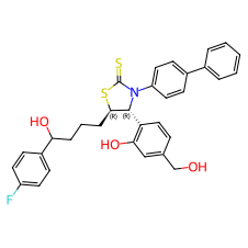 OCc1ccc([C@@H]2[C@@H](CCCC(O)c3ccc(F)cc3)SC(=S)N2c2ccc(-c3ccccc3)cc2)c(O)c1